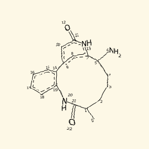 CC1CCCC(N)c2cc(cc(=O)[nH]2)-c2ccccc2NC1=O